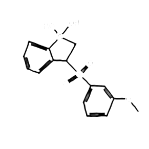 COc1cccc(S(=O)(=O)C2CS(O)(O)c3ccccc32)c1